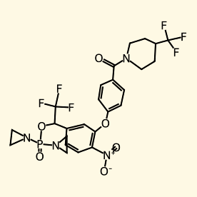 O=C(c1ccc(Oc2cc(C(OP(=O)(N3CC3)N3CC3)C(F)(F)F)ccc2[N+](=O)[O-])cc1)N1CCC(C(F)(F)F)CC1